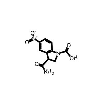 NC(=O)C1CN(C(=O)O)c2ccc([N+](=O)[O-])cc21